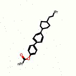 CCCC(=O)Oc1ccc(-c2ccc(C3CCC(CCC(C)C)CC3)cc2)cc1